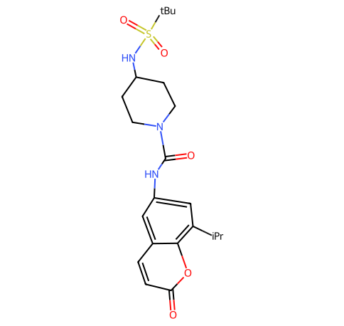 CC(C)c1cc(NC(=O)N2CCC(NS(=O)(=O)C(C)(C)C)CC2)cc2ccc(=O)oc12